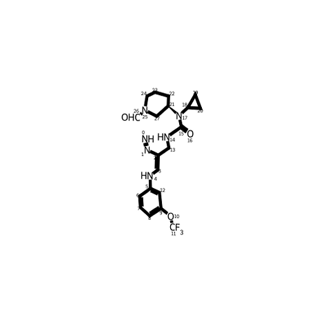 N=N/C(=C\Nc1cccc(OC(F)(F)F)c1)CNC(=O)N(C1CC1)[C@@H]1CCCN(C=O)C1